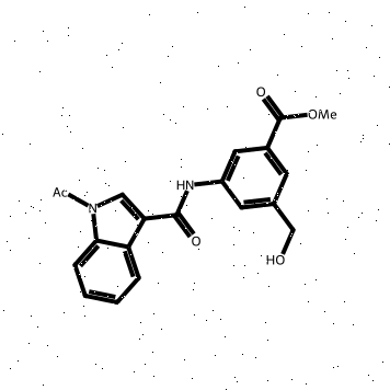 COC(=O)c1cc(CO)cc(NC(=O)c2cn(C(C)=O)c3ccccc23)c1